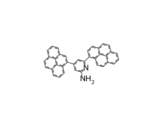 Nc1cc(-c2cc3cccc4ccc5cccc2c5c43)cc(-c2ccc3ccc4cccc5ccc2c3c45)n1